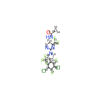 O=C(NCc1cnc(N2CCC(c3cc(Cl)c(F)c(Cl)c3F)(C(F)(F)F)C2)nc1C(F)F)C1CC1